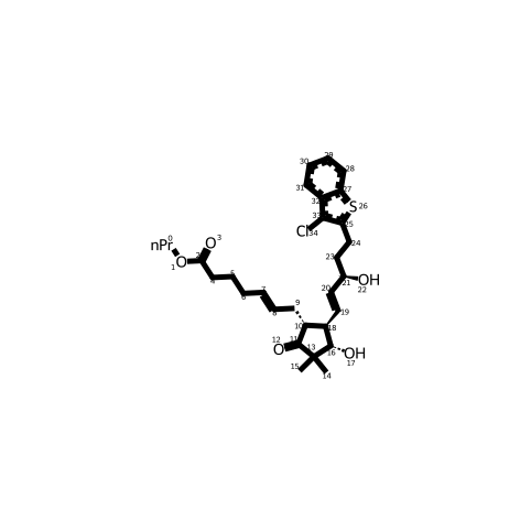 CCCOC(=O)CCC/C=C/C[C@H]1C(=O)C(C)(C)[C@@H](O)[C@@H]1/C=C/[C@H](O)CCc1sc2ccccc2c1Cl